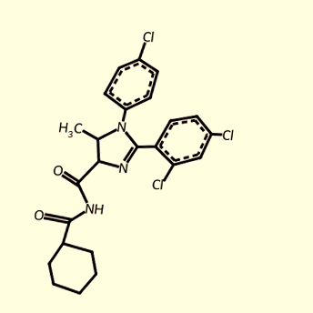 CC1C(C(=O)NC(=O)C2CCCCC2)N=C(c2ccc(Cl)cc2Cl)N1c1ccc(Cl)cc1